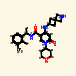 Cc1c(C(C)NC(=O)c2cn(C3CCOCC3)c(=O)cc2NC2CC3(CNC3)C2)cccc1C(F)(F)F